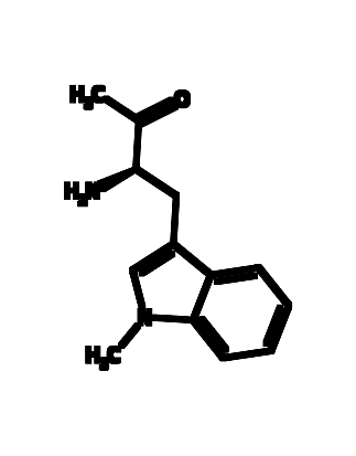 CC(=O)[C@H](N)Cc1cn(C)c2ccccc12